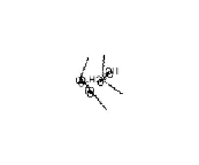 CCCCCCCCCCCCCC(=O)OC(=O)CCSCCC(=O)OC(=O)CCCCCCCCCCCCC.CCCCCCCCCCCCCCC(CCCCCCCCCCCCCC)(CSCCC(=O)O)C(=O)O